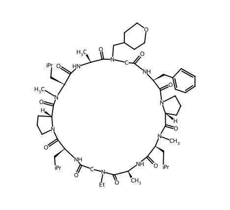 CCN1CC(=O)N[C@@H](CC(C)C)C(=O)N2CCC[C@@H]2C(=O)N(C)[C@@H](CC(C)C)C(=O)N[C@@H](C)C(=O)N(CC2CCOCC2)CC(=O)N[C@@H](Cc2ccccc2)C(=O)N2CCC[C@@H]2C(=O)N(C)[C@@H](CC(C)C)C(=O)N[C@@H](C)C1=O